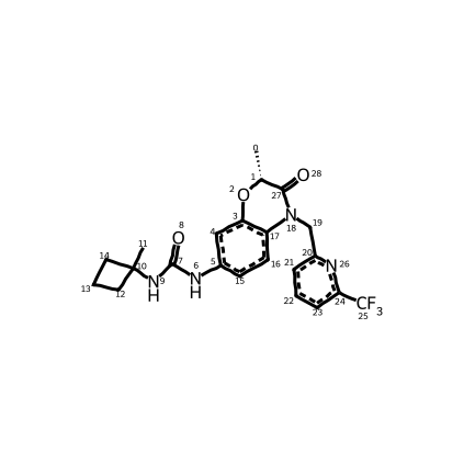 C[C@H]1Oc2cc(NC(=O)NC3(C)CCC3)ccc2N(Cc2cccc(C(F)(F)F)n2)C1=O